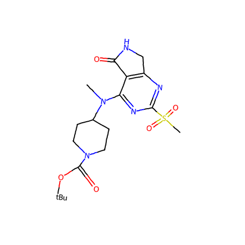 CN(c1nc(S(C)(=O)=O)nc2c1C(=O)NC2)C1CCN(C(=O)OC(C)(C)C)CC1